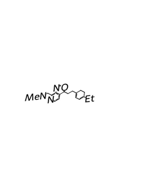 C=Nc1c(C(=O)CCC2=CC=C(CC)CC2)ccnc1CNC